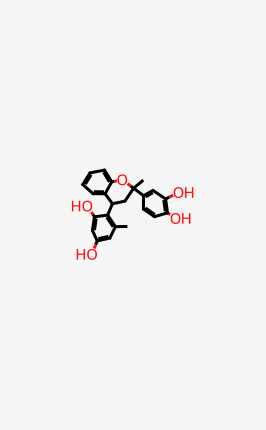 Cc1cc(O)cc(O)c1C1CC(C)(c2ccc(O)c(O)c2)Oc2ccccc21